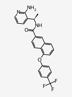 C[C@@H](NC(=O)c1ccc2c(Oc3ccc(C(F)(F)F)cc3)cccc2c1)c1cccnc1N